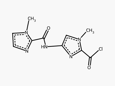 Cn1cc(NC(=O)c2nccn2C)nc1C(=O)Cl